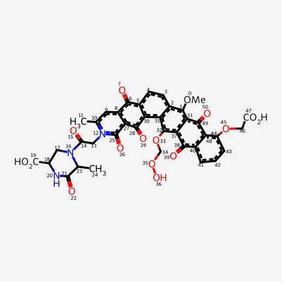 COc1c2ccc3c(=O)c4cc(C)n(CC(=O)N5CC(C(=O)O)NC(=O)C5C)c(=O)c4c(=O)c3c2c(OCOO)c2c(=O)c3cccc(OCC(=O)O)c3c(=O)c12